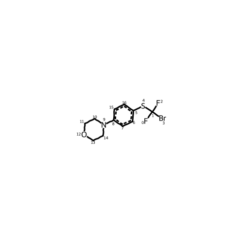 FC(F)(Br)Sc1ccc(N2CCOCC2)cc1